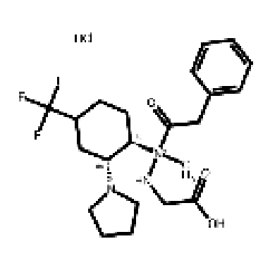 C[N+](NCC(=O)O)(C(=O)Cc1ccccc1)[C@@H]1CCC(C(F)(F)F)C[C@H]1N1CCCC1.Cl